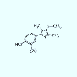 CSc1c(C)c(-c2ccc(O)c(C)c2)nn1C